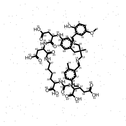 COc1ccc(O)c(/C=N\CC(C)(C/N=C/c2cc(OC)ccc2C)Cc2ccc(NC(CC(=O)O)C(=O)NC(CC(=O)O)C(=O)NCCCCC(NC(=O)NC(CCC(=O)O)C(=O)O)C(=O)O)cc2)c1